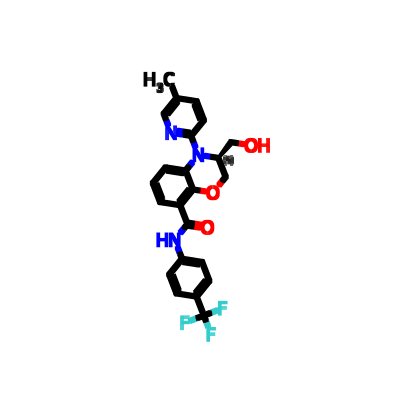 Cc1ccc(N2c3cccc(C(=O)Nc4ccc(C(F)(F)F)cc4)c3OC[C@@H]2CO)nc1